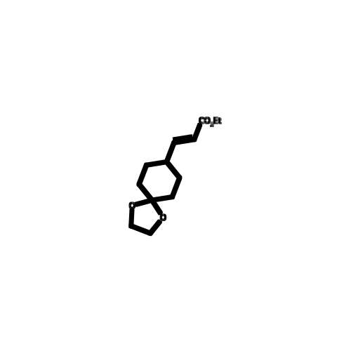 CCOC(=O)C=CC1CCC2(CC1)OCCO2